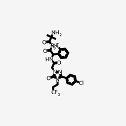 CC(C)(N)C(=O)NC(=O)C(NC(=O)Cn1nc(-c2ccc(Cl)cc2)n(CCC(F)(F)F)c1=O)c1ccccc1C(F)(F)F